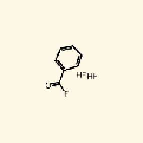 F.F.O=C(F)c1ccccc1